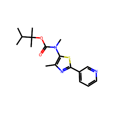 Cc1nc(-c2cccnc2)sc1N(C)C(=O)OC(C)(C)C(C)C